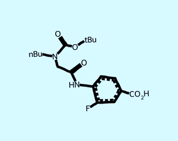 CCCCN(CC(=O)Nc1ccc(C(=O)O)cc1F)C(=O)OC(C)(C)C